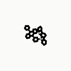 c1ccc(-c2c3ccccc3c(-c3cccc(-n4c5ccccc5c5ccc6c7ccccc7sc6c54)c3)c3ccccc23)cc1